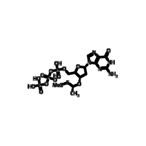 CSS[C@H](C)O[C@@H]1C[C@H](n2cnc3c(=O)[nH]c(N)nc32)OC1COP(=O)(O)OP(=O)(O)OP(=O)(O)O